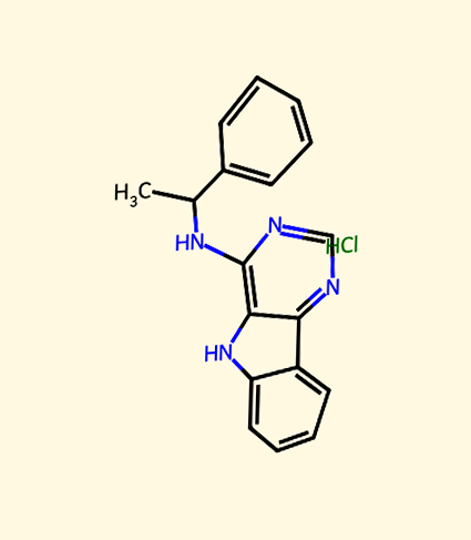 CC(Nc1ncnc2c1[nH]c1ccccc12)c1ccccc1.Cl